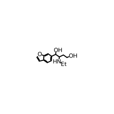 CCNC(CCO)C(O)c1ccc2ccoc2c1